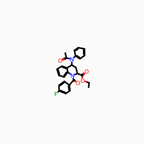 CCOC(=O)C1CC(N(C(C)=O)c2ccccc2)c2ccccc2N1C(=O)c1ccc(F)cc1